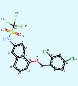 O=S(=O)(Nc1ccc2c(OCc3ccc(Cl)cc3Cl)cccc2c1)C(F)(F)F